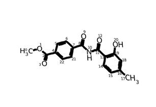 COC(=O)c1ccc(C(=O)NC(=O)c2ccc(C)cc2O)cc1